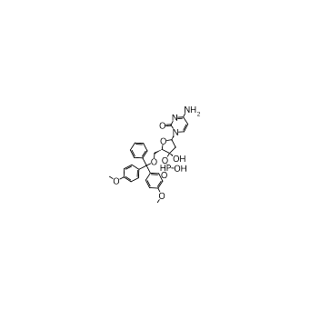 COc1ccc(C(OC[C@H]2O[C@@H](n3ccc(N)nc3=O)C[C@]2(O)O[PH](=O)O)(c2ccccc2)c2ccc(OC)cc2)cc1